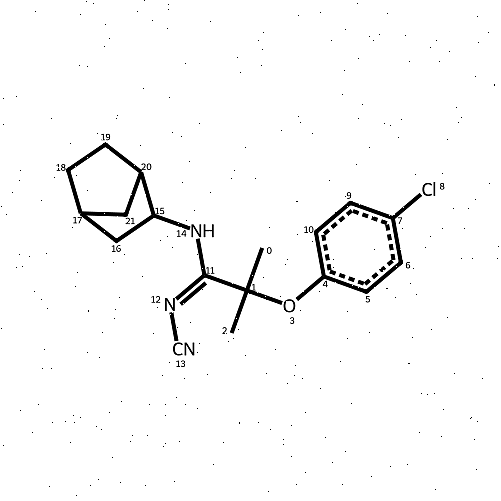 CC(C)(Oc1ccc(Cl)cc1)C(=NC#N)NC1CC2CCC1C2